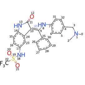 CN(C)Cc1ccc(N/C(=C2\C(=O)Nc3ccc(NS(=O)(=O)C(F)(F)F)cc32)c2ccccc2)cc1